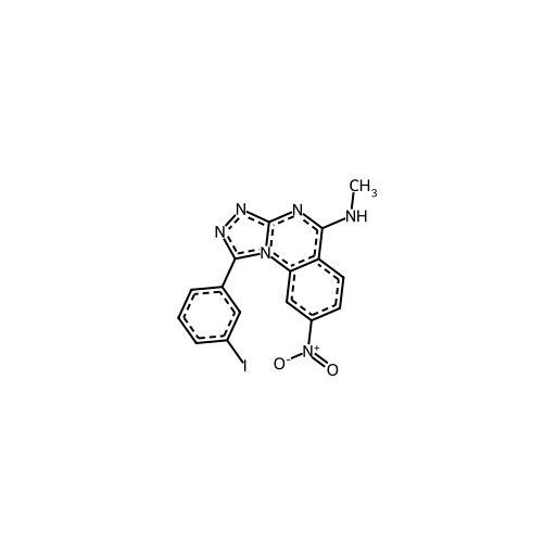 CNc1nc2nnc(-c3cccc(I)c3)n2c2cc([N+](=O)[O-])ccc12